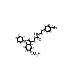 CC(C)c1ccc(CCNC(=O)CCc2cn(-c3ccccc3)c3ccc(C(=O)O)cc23)cc1